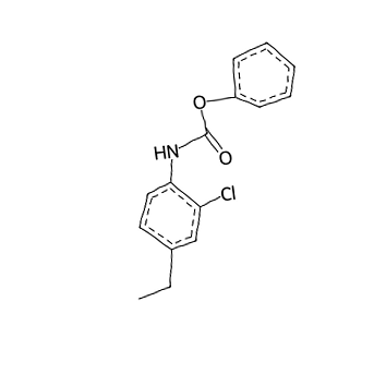 CCc1ccc(NC(=O)Oc2ccccc2)c(Cl)c1